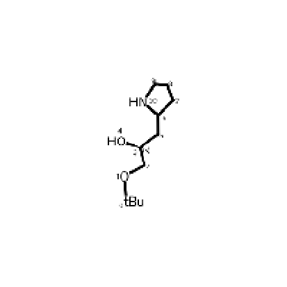 CC(C)(C)OC[C@@H](O)CC1CCCN1